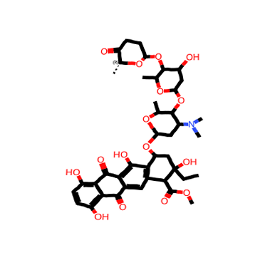 CCC1(O)CC(OC2CC(N(C)C)C(OC3CC(O)C(OC4CCC(=O)[C@@H](C)O4)C(C)O3)C(C)O2)c2c(cc3c(c2O)C(=O)c2c(O)ccc(O)c2C3=O)C1C(=O)OC